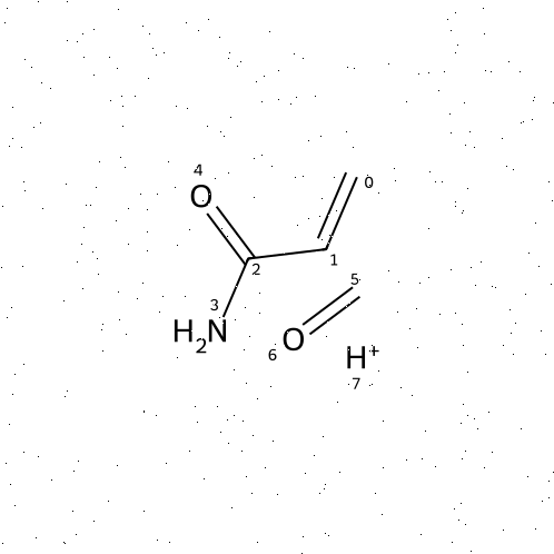 C=CC(N)=O.C=O.[H+]